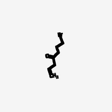 C=CCC(=O)CCCBr